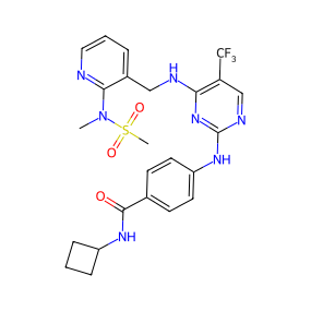 CN(c1ncccc1CNc1nc(Nc2ccc(C(=O)NC3CCC3)cc2)ncc1C(F)(F)F)S(C)(=O)=O